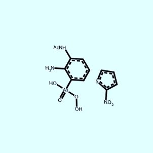 CC(=O)Nc1cccc([As](=O)(O)OO)c1N.O=[N+]([O-])c1cccs1